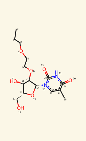 CCCOCCO[C@@H]1[C@H](O)[C@@H](CO)O[C@H]1n1cc(C)c(=O)[nH]c1=O